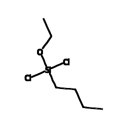 CCCC[Si](Cl)(Cl)OCC